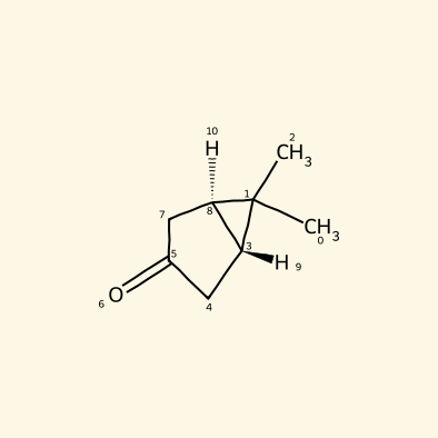 CC1(C)[C@@H]2CC(=O)C[C@H]21